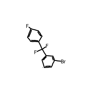 Fc1ccc(C(F)(F)c2c[c]cc(Br)c2)cc1